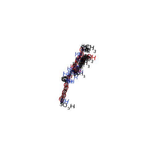 C/C1=C/c2ccccc2N(C(=O)CCC(=O)NCCOCCOCCOCCOCCC(=O)N[C@H](CCCCNC(=O)COC2CCCCC/C(NCCOCCOCCOCCOCCC(=O)NCCS(=O)(=O)O)=C\2N=N)C(=O)N[C@H](C(=O)N[C@@H](C)C(=O)N[C@@H](CCO)C(=O)Nc2ccc3c(c2)[C@@]2(C)CCC[C@](C)(C(=O)NC(=O)[C@@]4(C)CCC[C@]5(C)c6cc(O)ccc6CC[C@@H]45)[C@@H]2CC3)C(C)C)Cc2ccccc21